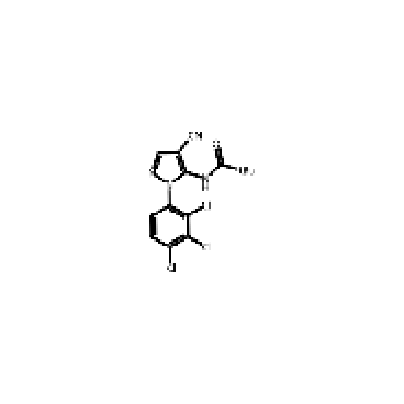 CC(C)(C)C(=O)Nc1c(C#N)cnn1-c1ccc(Cl)c(Cl)c1Cl